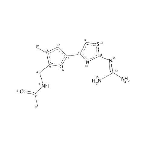 CC(=O)NCc1oc(-c2csc(N=C(N)N)n2)cc1C